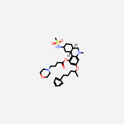 CC(CCCc1ccccc1)Oc1cc(OC(=O)CCCN2CCOCC2)c2c(c1)N(C)C[C@@H]1CCC(NS(C)(=O)=O)C[C@@H]21